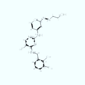 OCCN=NC1C=C(Nc2ncc(F)c(NCc3cccc(F)c3F)n2)C=CO1